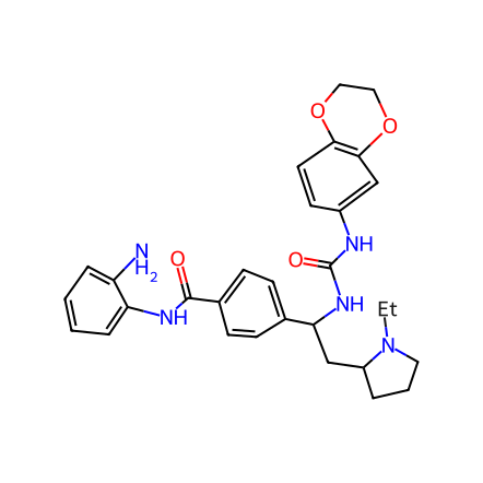 CCN1CCCC1CC(NC(=O)Nc1ccc2c(c1)OCCO2)c1ccc(C(=O)Nc2ccccc2N)cc1